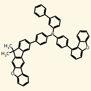 CC1(C)c2ccc(-c3ccc(N(c4ccc(-c5cccc6oc7ccccc7c56)cc4)c4cccc(-c5ccccc5)c4)cc3)cc2-c2cc3c(cc21)oc1ccccc13